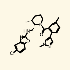 Cc1ccc(-c2cnn(C)c2)c(C(=O)N2CCC[C@@H](C)[C@H]2CNc2nc3cc(Cl)ccc3o2)c1